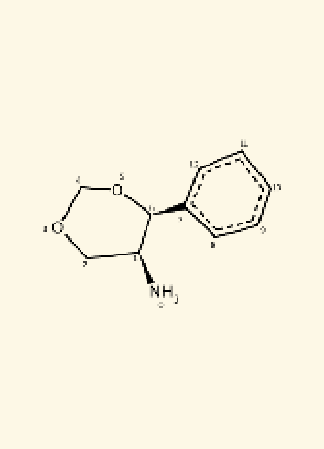 N[C@H]1COCO[C@H]1c1ccccc1